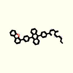 C=C(/C=C\C=C/CC)/C=C\C(=C)c1ccc(-c2c3ccccc3c(-c3ccc(-c4cccc5c4oc4ccccc45)cc3)c3ccccc23)cc1